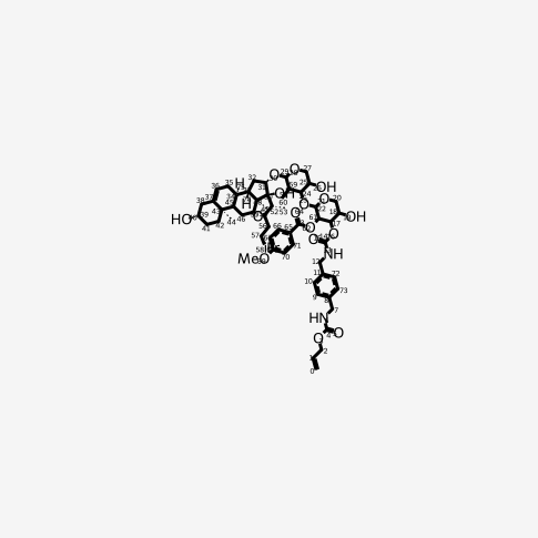 C=CCOC(=O)NCc1ccc(CNC(=O)OC2C(O)COC(OC3C(O)COC(O[C@H]4C[C@H]5[C@@H]6CC=C7C[C@@H](O)CC[C@]7(C)C6CC[C@]5(C)[C@@]4(O)[C@H](C)C(=O)CCC(C)C)C3C)C2OC(=O)c2ccc(OC)cc2)cc1